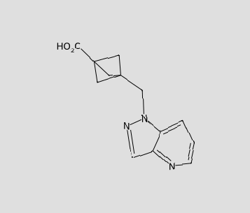 O=C(O)C12CC(Cn3ncc4ncccc43)(C1)C2